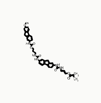 C=C(C)C(=O)OCCCNC(=O)Nc1ccc2c(c1)Cc1cc(NC(=O)NCCCOC(=O)Nc3ccc4c(c3)Cc3cc(OC#N)ccc3-4)ccc1-2